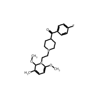 COC1=CC=C(C)C(OC)N1CCN1CCC(C(=O)c2ccc(F)cc2)CC1